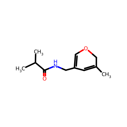 CC1=CC(CNC(=O)C(C)C)=COC1